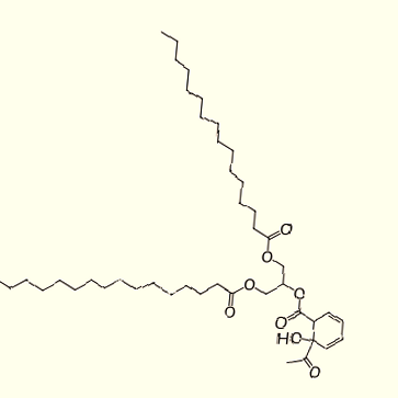 CCCCCCCCCCCCCCCC(=O)OCC(COC(=O)CCCCCCCCCCCCCCC)OC(=O)C1C=CC=CC1(O)C(C)=O